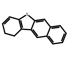 C1=Cc2sc3cc4ccccc4cc3c2CC1